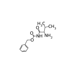 CC(C)C(N)C(=O)NC(=O)OCc1ccccc1